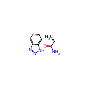 C=CC(N)=O.c1ccc2[nH]nnc2c1